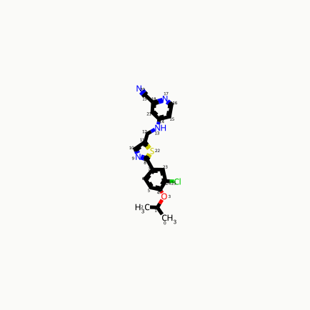 CC(C)Oc1ccc(-c2ncc(CNc3ccnc(C#N)c3)s2)cc1Cl